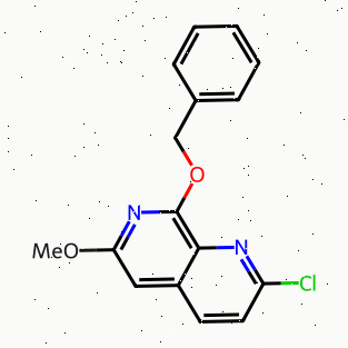 COc1cc2ccc(Cl)nc2c(OCc2ccccc2)n1